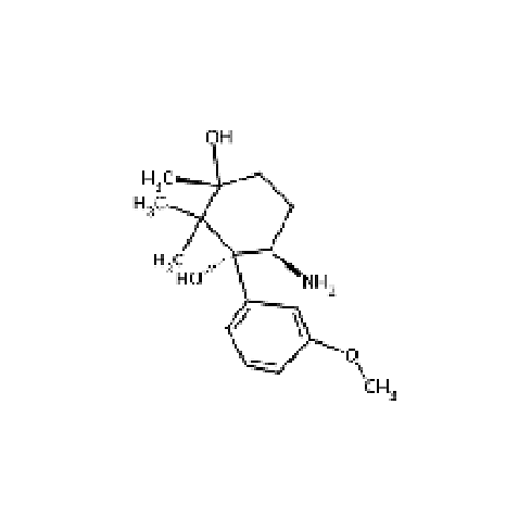 COc1cccc([C@]2(O)[C@H](N)CC[C@@](C)(O)C2(C)C)c1